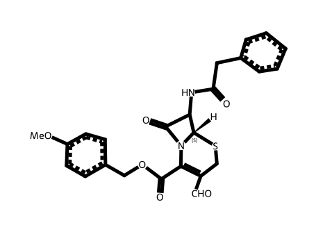 COc1ccc(COC(=O)C2=C(C=O)CS[C@H]3C(NC(=O)Cc4ccccc4)C(=O)N23)cc1